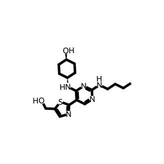 CCCCNc1ncc(-c2ncc(CO)s2)c(N[C@H]2CC[C@H](O)CC2)n1